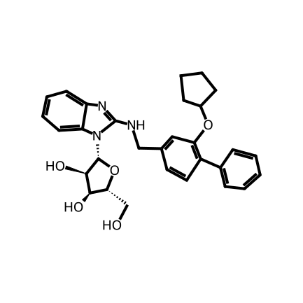 OC[C@H]1O[C@@H](n2c(NCc3ccc(-c4ccccc4)c(OC4CCCC4)c3)nc3ccccc32)[C@H](O)[C@@H]1O